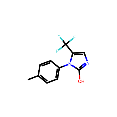 Cc1ccc(-n2c(C(F)(F)F)cnc2O)cc1